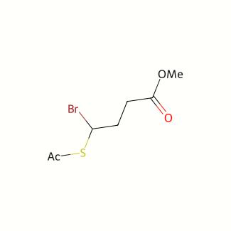 COC(=O)CCC(Br)SC(C)=O